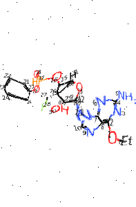 CCOc1nc(N)nc2c1ncn2[C@@H]1O[C@@H]2C(O[PH](=O)Oc3ccccc3)[C@]2(CF)[C@H]1O